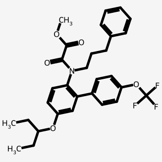 CCC(CC)Oc1ccc(N(CCCc2ccccc2)C(=O)C(=O)OC)c(-c2ccc(OC(F)(F)F)cc2)c1